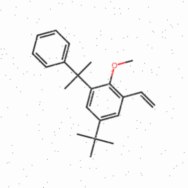 C=Cc1cc(C(C)(C)C)cc(C(C)(C)c2ccccc2)c1OC